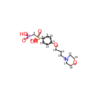 O=P(O)(O)CS(=O)(=O)c1ccc(OCCCN2CCOCC2)cc1